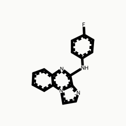 Fc1ccc(Nc2nc3ccccc3n3ccnc23)cc1